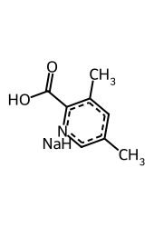 Cc1cnc(C(=O)O)c(C)c1.[NaH]